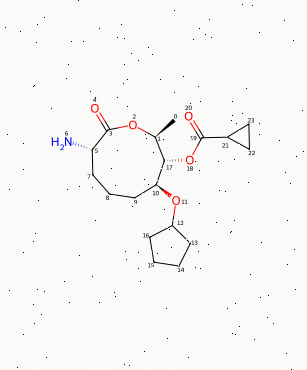 C[C@@H]1OC(=O)[C@@H](N)CCC[C@H](OC2CCCC2)[C@H]1OC(=O)C1CC1